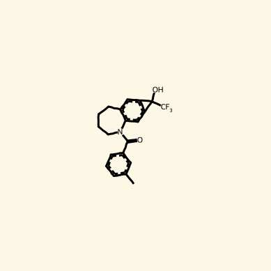 Cc1cccc(C(=O)N2CCCCc3cc4c(cc32)C4(O)C(F)(F)F)c1